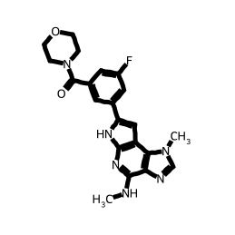 CNc1nc2[nH]c(-c3cc(F)cc(C(=O)N4CCOCC4)c3)cc2c2c1ncn2C